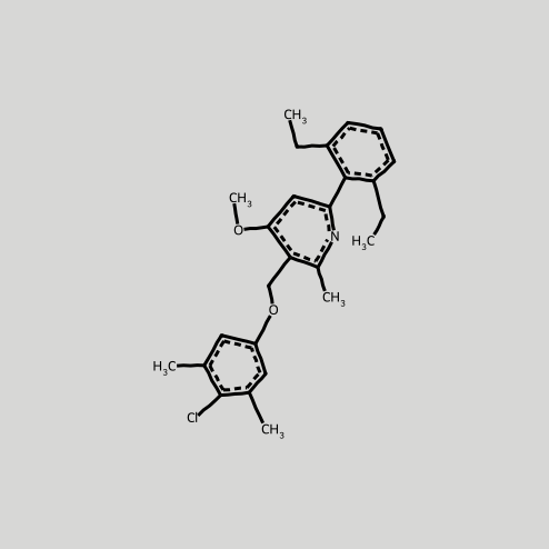 CCc1cccc(CC)c1-c1cc(OC)c(COc2cc(C)c(Cl)c(C)c2)c(C)n1